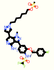 C[C@H](Oc1cc(-c2nn(C)c3c(-c4cnn(CCCCCCCOS(C)(=O)=O)c4)cnc(N)c23)ccc1NS(=O)(=O)C(F)F)c1ccc(F)cc1